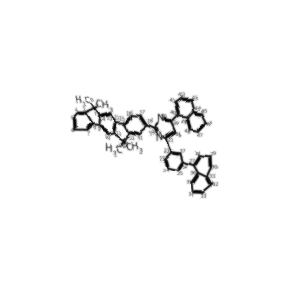 CC1(C)c2ccccc2-c2cc3c(cc21)-c1ccc(-c2nc(-c4cccc(-c5cccc6ccccc56)c4)cc(-c4cccc5ccccc45)n2)cc1C3(C)C